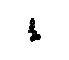 CN1CCN(c2ccc(Nc3ncc4c(n3)C3(C=CC(C)(C)CC3)c3cnccc3-4)cn2)CC1